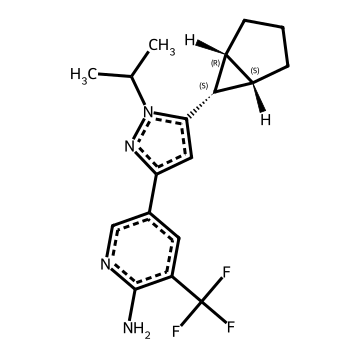 CC(C)n1nc(-c2cnc(N)c(C(F)(F)F)c2)cc1[C@@H]1[C@@H]2CCC[C@@H]21